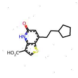 O=C(O)c1csc2c(CCC3CCCC3)cc(=O)[nH]c12